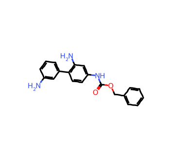 Nc1cccc(-c2ccc(NC(=O)OCc3ccccc3)cc2N)c1